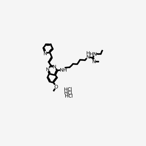 CCNC(=NC)NCCCCCCNc1nc(C=Cc2ccccn2)nc2ccc(OC)cc12.Cl.Cl.Cl